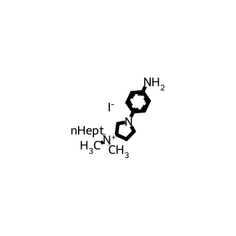 CCCCCCC[N+](C)(C)C1CCN(c2ccc(N)cc2)C1.[I-]